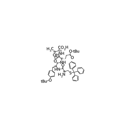 C[C@@H](O)[C@H](NC(=O)[C@H](CCC(=O)OC(C)(C)C)NC(=O)[C@H](Cc1ccc(OC(C)(C)C)cc1)NC(=O)[C@@H](N)CSC(c1ccccc1)(c1ccccc1)c1ccccc1)C(=O)O